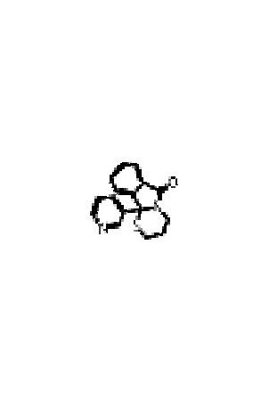 O=C1c2ccccc2C2(c3cccnc3)SCCCN12